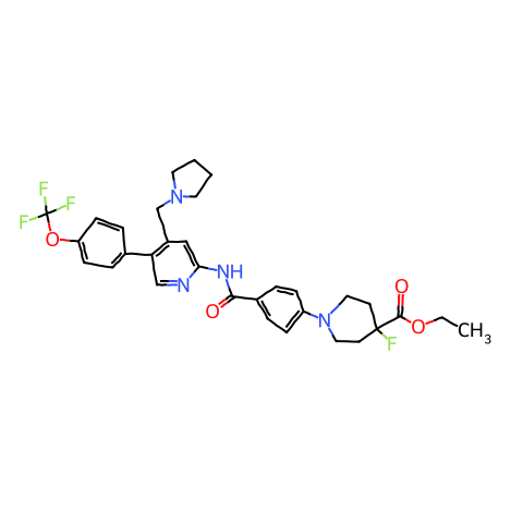 CCOC(=O)C1(F)CCN(c2ccc(C(=O)Nc3cc(CN4CCCC4)c(-c4ccc(OC(F)(F)F)cc4)cn3)cc2)CC1